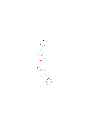 CN1c2ncn(CC(=O)Nc3csc(-c4cnc(C(F)(F)F)nc4)n3)c2C(=O)N(Cc2ccccn2)C1O